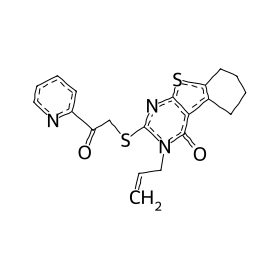 C=CCn1c(SCC(=O)c2ccccn2)nc2sc3c(c2c1=O)CCCC3